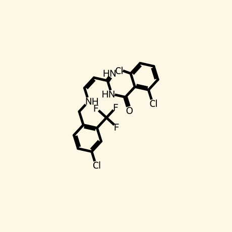 N=C(/C=C\NCc1ccc(Cl)cc1C(F)(F)F)NC(=O)c1c(Cl)cccc1Cl